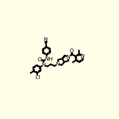 Cc1ccc(N(CCCN2CC3=CN(C(=O)c4c(C)ccnc4C)CC3C2)C(=O)Nc2ccc(C#N)cc2)cc1Cl